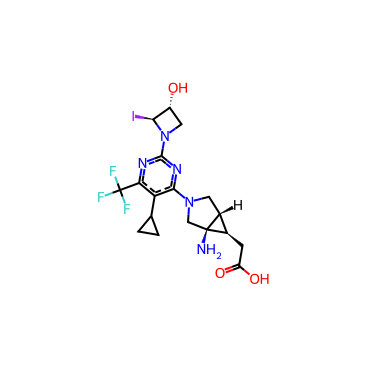 N[C@@]12CN(c3nc(N4C[C@@H](O)[C@@H]4I)nc(C(F)(F)F)c3C3CC3)C[C@@H]1[C@H]2CC(=O)O